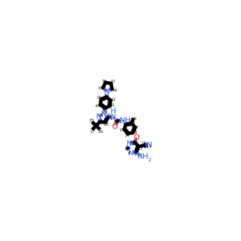 Cc1cc(Oc2ncnc(N)c2C#N)ccc1NC(=O)Nc1cc(C(C)(C)C)nn1-c1ccc(N2CCCC2)cc1